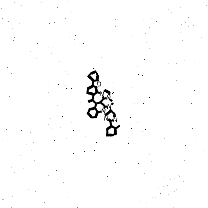 C=C1c2ccc3c(oc4ccccc43)c2N2C=CN(C)C2C2C1c1ccccc1N1c3nc(-c4ccccc4C)ncc3N(C)C21